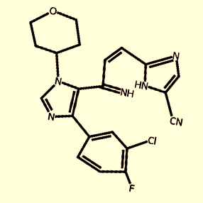 N#Cc1cnc(/C=C\C(=N)c2c(-c3ccc(F)c(Cl)c3)ncn2C2CCOCC2)[nH]1